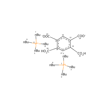 CCCC[P+](CCCC)(CCCC)CCCC.CCCC[P+](CCCC)(CCCC)CCCC.O=C([O-])c1cc(C(=O)[O-])c(C(=O)O)cc1C(=O)O